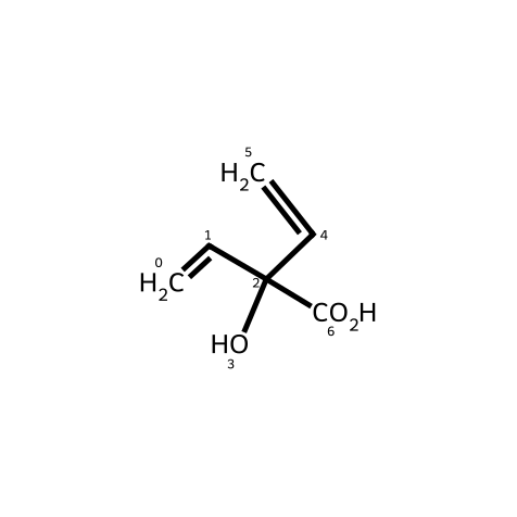 C=CC(O)(C=C)C(=O)O